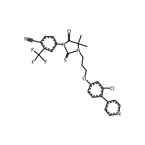 CC1(C)C(=O)N(c2ccc(C#N)c(C(F)(F)F)c2)C(=S)N1CCCOc1ccc(-c2ccncc2)c(Cl)c1